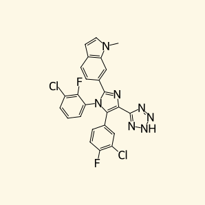 Cn1ccc2ccc(-c3nc(-c4nn[nH]n4)c(-c4ccc(F)c(Cl)c4)n3-c3cccc(Cl)c3F)cc21